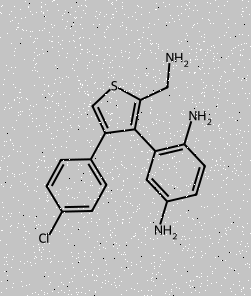 NCc1scc(-c2ccc(Cl)cc2)c1-c1cc(N)ccc1N